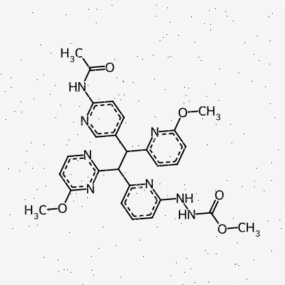 COC(=O)NNc1cccc(C(c2nccc(OC)n2)C(c2ccc(NC(C)=O)nc2)c2cccc(OC)n2)n1